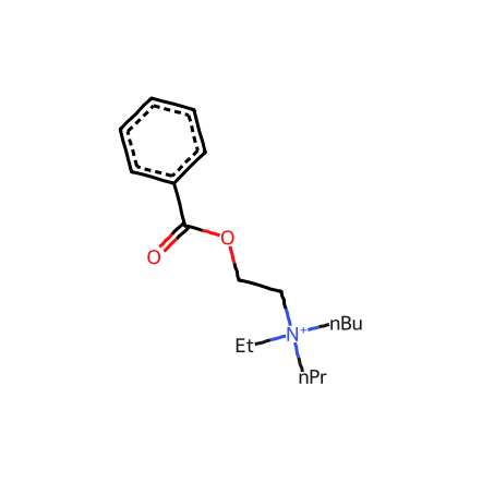 CCCC[N+](CC)(CCC)CCOC(=O)c1ccccc1